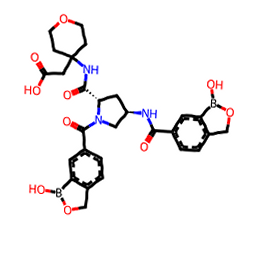 O=C(O)CC1(NC(=O)[C@@H]2C[C@@H](NC(=O)c3ccc4c(c3)B(O)OC4)CN2C(=O)c2ccc3c(c2)B(O)OC3)CCOCC1